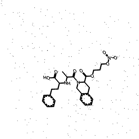 CC(NC(CCc1ccccc1)C(=O)O)C(=O)N1Cc2ccccc2CC1C(=O)OCCCO[N+](=O)[O-]